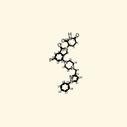 O=C1CCC(N2Cc3c(cc(F)cc3N3CCN(Cc4ccn(-c5ccccc5)n4)CC3)C2=O)C(=O)N1